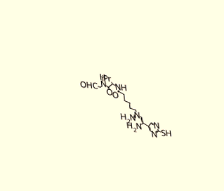 CC(C)C(NC(=O)CCCCCN(N)/C=C(\N)c1cnc(S)nc1)C(=O)NCC=O